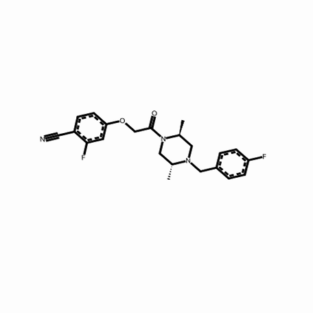 C[C@@H]1CN(C(=O)COc2ccc(C#N)c(F)c2)[C@@H](C)CN1Cc1ccc(F)cc1